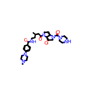 CC(CCNC(=O)c1ccc(N2CCN(C)CC2)cc1)CC(=O)N1CCC2C1C(=O)CN2C(=O)N1CCNCC1